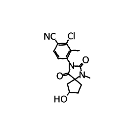 Cc1c(N2C(=O)N(C)C3(CCC(O)C3)C2=O)ccc(C#N)c1Cl